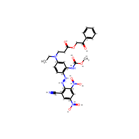 CCN(CCC(=O)OCC(=O)c1ccccc1)c1ccc(/N=N/c2c(C#N)cc([N+](=O)[O-])cc2[N+](=O)[O-])c(NC(=O)OC)c1